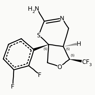 NC1=NC[C@H]2[C@@H](C(F)(F)F)OC[C@]2(c2cccc(F)c2F)S1